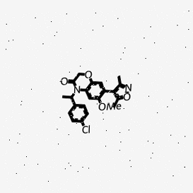 COc1cc2c(cc1-c1c(C)noc1C)OCC(=O)N2C(C)c1ccc(Cl)cc1